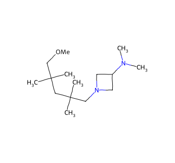 COCC(C)(C)CC(C)(C)CN1CC(N(C)C)C1